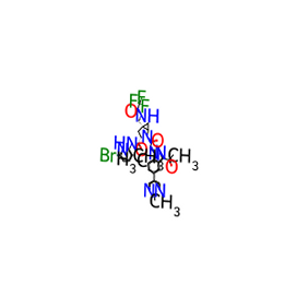 CC(=O)c1nn(CC(=O)N2C3C[C@]3(CNC(=O)C(F)(F)F)C[C@H]2C(=O)Nc2nc(Br)ccc2C)c2c(C)cc(-c3cnc(C)nc3)cc12